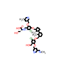 C/N=C/c1cncc(COc2cc(OCc3cccc(-c4cccc(COc5cc(OCc6cncc(C)c6)c(CN[C@H](CCO)C(=O)O)cc5Cl)c4C)c3C)c(Cl)cc2CO)c1